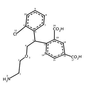 NCCOCC(c1ccccc1Cl)c1ncc(C(=O)O)cc1C(=O)O